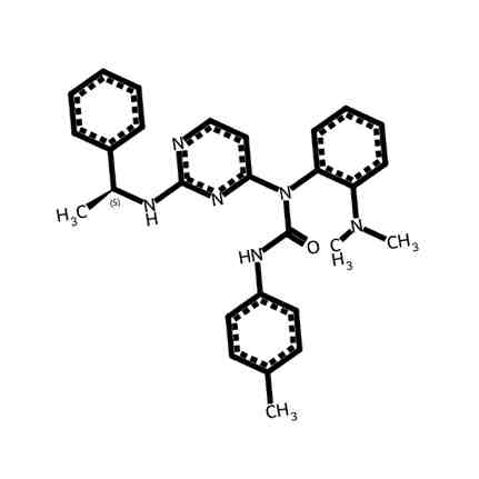 Cc1ccc(NC(=O)N(c2ccnc(N[C@@H](C)c3ccccc3)n2)c2ccccc2N(C)C)cc1